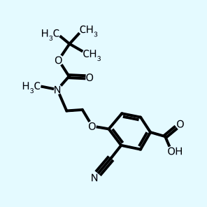 CN(CCOc1ccc(C(=O)O)cc1C#N)C(=O)OC(C)(C)C